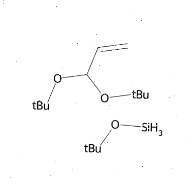 C=CC(OC(C)(C)C)OC(C)(C)C.CC(C)(C)O[SiH3]